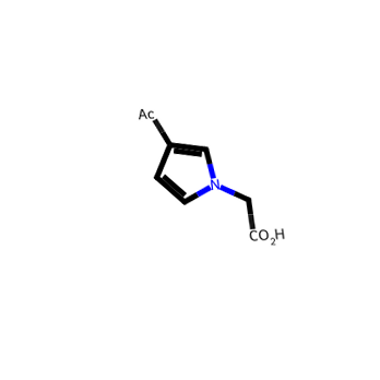 CC(=O)c1ccn(CC(=O)O)c1